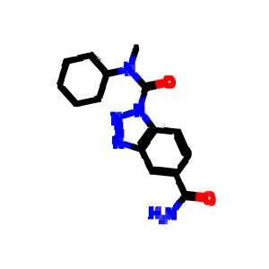 CN(C(=O)n1nnc2cc(C(N)=O)ccc21)C1CCCCC1